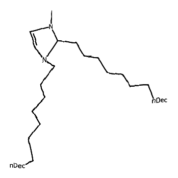 CCCCCCCCCCCCCCCCCC1N(C)C=CN1CCCCCCCCCCCCCCCCC